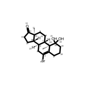 C[C@]12C(=C(Br)C[C@@H]3[C@@H]1CC[C@]1(C)C(=O)CC[C@@H]31)CCCC2(O)O